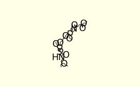 C/C=C(/CCNC(=O)c1cc2cc(OCCCOc3cc4c(cc3OC)CN(C(=O)CCC(=O)OCC)C4)c(OC)cc2s1)OCC